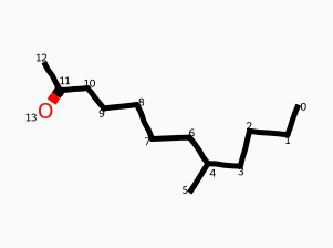 CCCCC(C)CCCCCC(C)=O